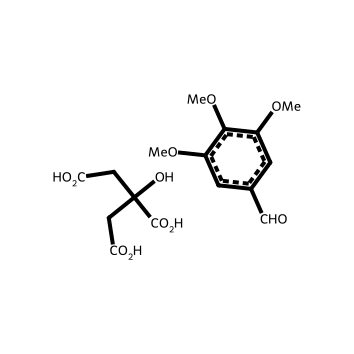 COc1cc(C=O)cc(OC)c1OC.O=C(O)CC(O)(CC(=O)O)C(=O)O